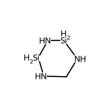 C1N[SiH2]N[SiH2]N1